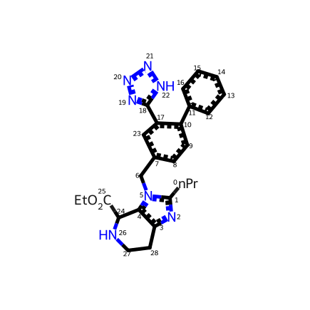 CCCc1nc2c(n1Cc1ccc(-c3ccccc3)c(-c3nnn[nH]3)c1)C(C(=O)OCC)NCC2